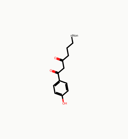 CCCCCCCCCCCCC(=O)CC(=O)c1ccc(O)cc1